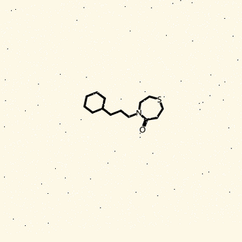 O=C1CCSCCN1CCCC1CCCCC1